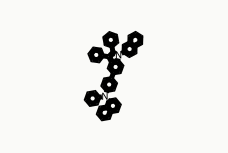 c1ccc(-c2c(-c3ccccc3)n(-c3ccc4ccccc4c3)c3ccc(-c4ccc(N(c5ccccc5)c5cccc6ccccc56)cc4)cc23)cc1